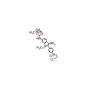 CCn1c(-c2ccc(N3CCCS3(=O)=O)cc2)c(N)c2ccc(NC(=O)OC(C)(C)C)cc21